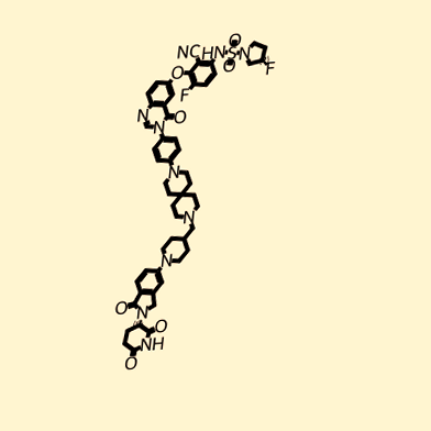 N#Cc1c(NS(=O)(=O)N2CC[C@@H](F)C2)ccc(F)c1Oc1ccc2ncn(-c3ccc(N4CCC5(CCN(CC6CCN(c7ccc8c(c7)CN([C@H]7CCC(=O)NC7=O)C8=O)CC6)CC5)CC4)cc3)c(=O)c2c1